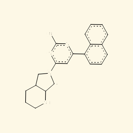 Nc1nc(-c2cccc3ccccc23)cc(N2CC3CCCNC3C2)n1